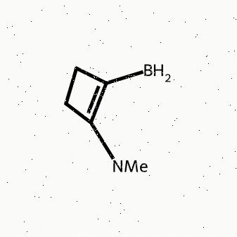 BC1=C(NC)CC1